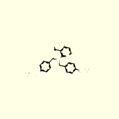 COC(=O)c1cccnc1N(Cc1ccc(OC)cc1)Cc1ccc(OC)cc1